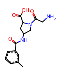 Cc1cccc(C(=O)NC2CC(C(=O)O)N(C(=O)CN)C2)c1